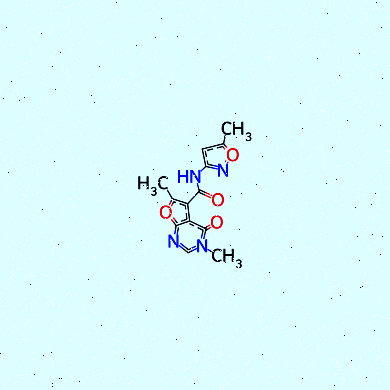 Cc1cc(NC(=O)c2c(C)oc3ncn(C)c(=O)c23)no1